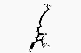 CCCCCCCc1cc(C#N)c(N)s1